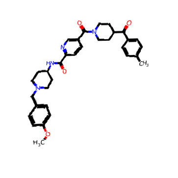 COc1ccc(CN2CCC(NC(=O)c3ccc(C(=O)N4CCC(C(=O)c5ccc(C)cc5)CC4)cn3)CC2)cc1